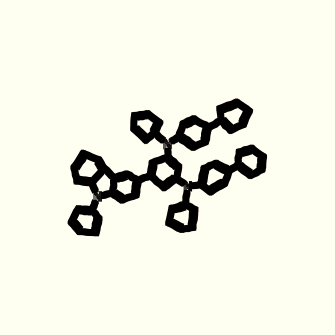 c1ccc(-c2ccc(N(c3ccccc3)c3cc(-c4ccc5c(c4)c4ccccc4n5-c4ccccc4)cc(N(c4ccccc4)c4ccc(-c5ccccc5)cc4)c3)cc2)cc1